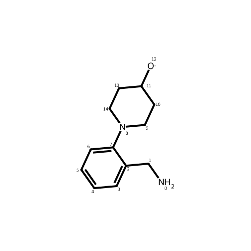 NCc1ccccc1N1CCC([O])CC1